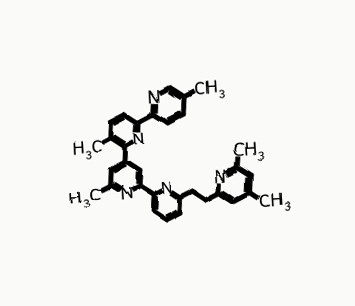 Cc1ccc(-c2ccc(C)c(-c3cc(C)nc(-c4cccc(CCc5cc(C)cc(C)n5)n4)c3)n2)nc1